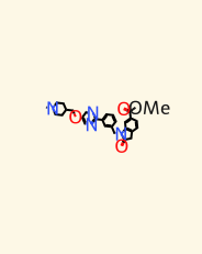 COC(=O)c1ccc2c(c1)N(Cc1cccc(-c3ncc(OCC4CCN(C)CC4)cn3)c1)C(=O)C2